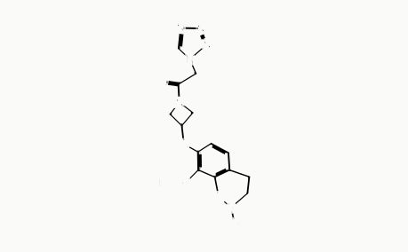 O=C(O)c1c(OC2CN(C(=O)Cn3cnnn3)C2)ccc2c1OB(O)CC2